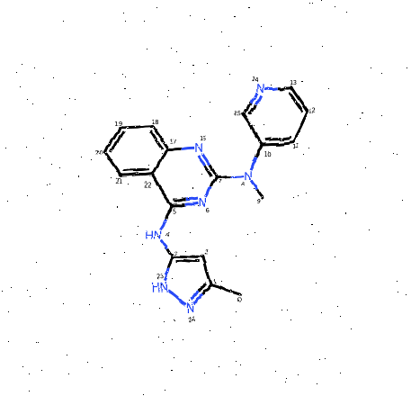 Cc1cc(Nc2nc(N(C)c3cccnc3)nc3ccccc23)[nH]n1